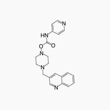 O=C(Nc1ccncc1)ON1CCN(Cc2cnc3ccccc3c2)CC1